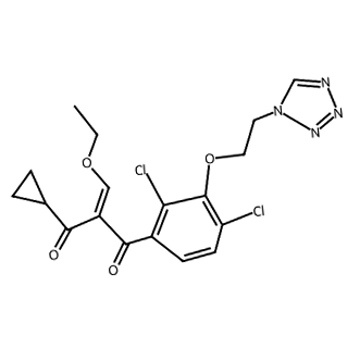 CCOC=C(C(=O)c1ccc(Cl)c(OCCn2cnnn2)c1Cl)C(=O)C1CC1